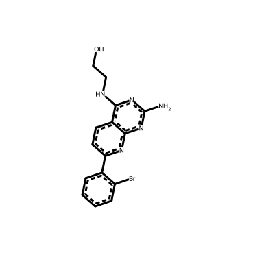 Nc1nc(NCCO)c2ccc(-c3ccccc3Br)nc2n1